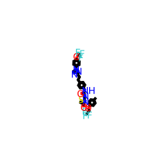 Cc1ccc(OCC(F)(F)F)c(N2C(=O)CSC2=NC(=O)Nc2ccc(CCc3ncn(-c4ccc(OC(F)(F)F)cc4)n3)cc2)c1